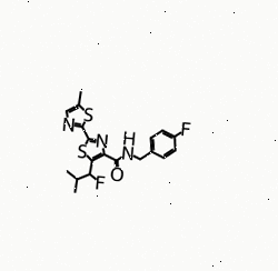 Cc1cnc(-c2nc(C(=O)NCc3ccc(F)cc3)c(C(F)C(C)C)s2)s1